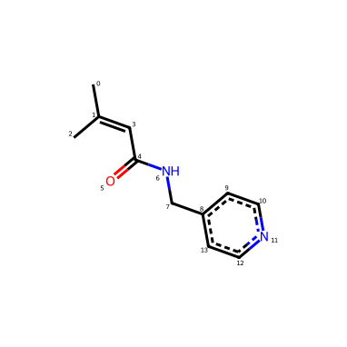 CC(C)=CC(=O)NCc1ccncc1